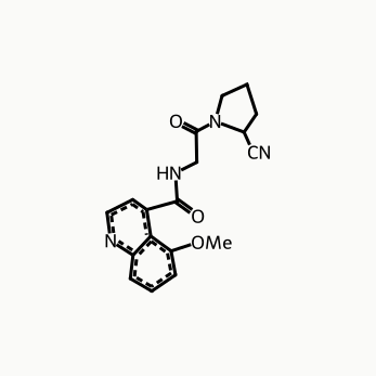 COc1cccc2nccc(C(=O)NCC(=O)N3CCCC3C#N)c12